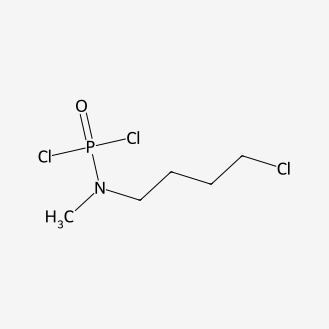 CN(CCCCCl)P(=O)(Cl)Cl